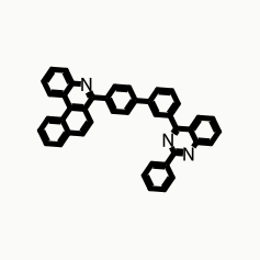 c1ccc(-c2nc(-c3cccc(-c4ccc(-c5nc6ccccc6c6c5ccc5ccccc56)cc4)c3)c3ccccc3n2)cc1